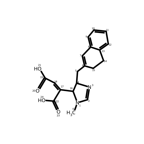 CN1C=NC(CC2=Cc3ccccc3CC2)C1/C(=C/C(=O)O)C(=O)O